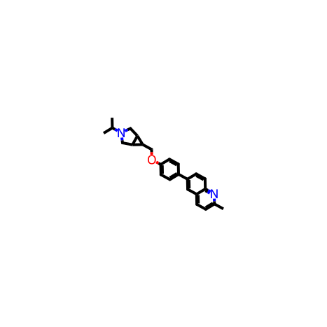 Cc1ccc2cc(-c3ccc(OCC4C5CN(C(C)C)CC45)cc3)ccc2n1